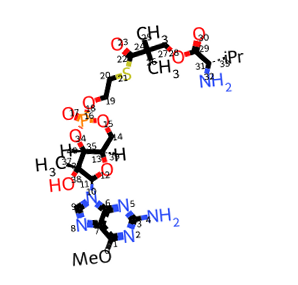 COc1nc(N)nc2c1ncn2[C@@H]1O[C@@H]2COP(=O)(OCCSC(=O)C(C)(C)COC(=O)[C@@H](N)C(C)C)O[C@H]2[C@@]1(C)O